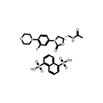 CC(=O)NC[C@H]1CN(c2ccc(N3CCOCC3)c(F)c2)C(=O)O1.O=S(=O)(O)c1cccc2c(S(=O)(=O)O)cccc12